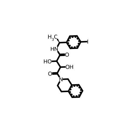 C[C@H](NC(=O)C(O)C(O)C(=O)N1CCc2ccccc2C1)c1ccc(I)cc1